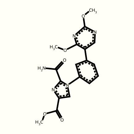 COC(=O)c1cn(-c2cccc(-c3cnc(OC)nc3OC)c2)c(C(N)=O)n1